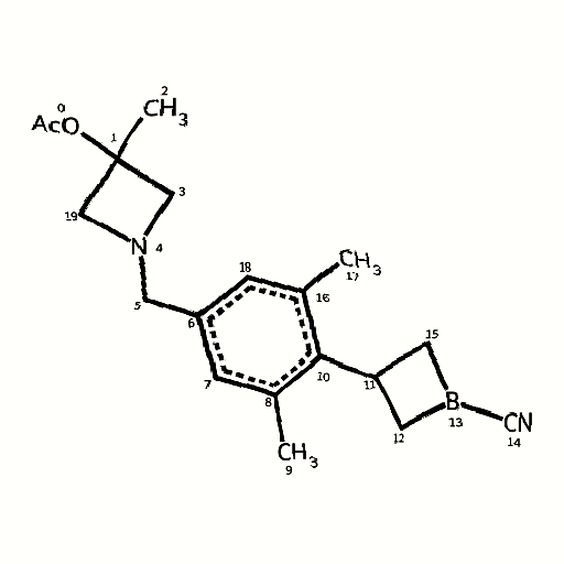 CC(=O)OC1(C)CN(Cc2cc(C)c(C3CB(C#N)C3)c(C)c2)C1